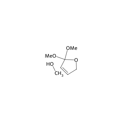 CO.COC1(OC)C=CCO1